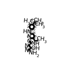 CCC(NC(=O)c1ncnc(N)c1O)c1ccc(Nc2ccc(C(C)(C)C)cc2)nc1